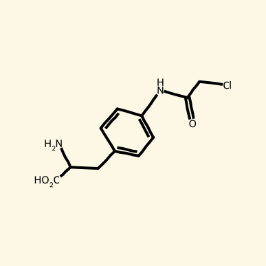 NC(Cc1ccc(NC(=O)CCl)cc1)C(=O)O